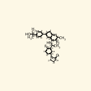 Cc1nc2ccc(-c3cnc(C(C)(C)O)nc3)cc2c(NC(C)c2cc(N3CCCC3=O)ccc2F)c1Cl